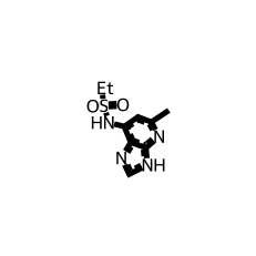 CCS(=O)(=O)Nc1cc(C)nc2[nH]cnc12